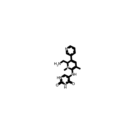 CC1=C(Nc2c[nH]c(=O)[nH]c2=O)N(C)C(CN)C(c2cccnc2)=C1